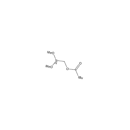 CO[SiH](COC(=O)C(C)(C)C)OC